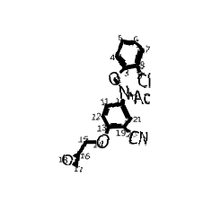 CC(=O)N(Oc1ccccc1Cl)c1ccc(OCC2CO2)c(C#N)c1